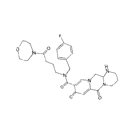 O=C(CCCN(Cc1ccc(F)cc1)C(=O)c1cn2c(cc1=O)C(=O)N1CCCNC1C2)N1CCOCC1